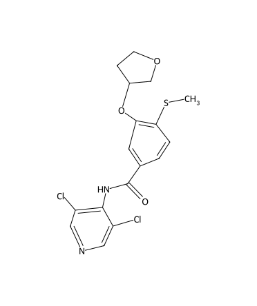 CSc1ccc(C(=O)Nc2c(Cl)cncc2Cl)cc1OC1CCOC1